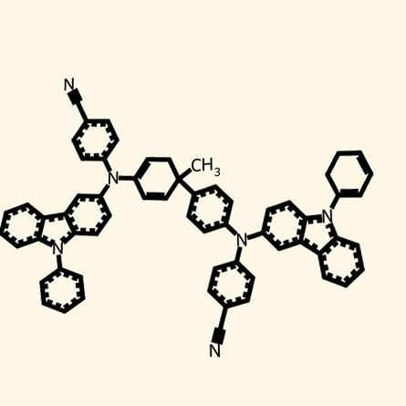 CC1(c2ccc(N(c3ccc(C#N)cc3)c3ccc4c(c3)c3ccccc3n4C3=CC=CCC3)cc2)C=CC(N(c2ccc(C#N)cc2)c2ccc3c(c2)c2ccccc2n3-c2ccccc2)=CC1